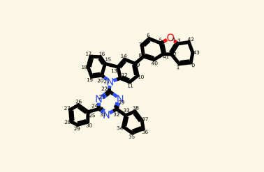 C1=Cc2c(oc3ccc(-c4ccc5c(c4)c4ccccc4n5-c4nc(-c5ccccc5)nc(-c5ccccc5)n4)cc23)CC1